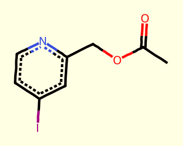 CC(=O)OCc1cc(I)ccn1